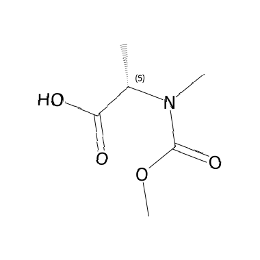 COC(=O)N(C)[C@@H](C)C(=O)O